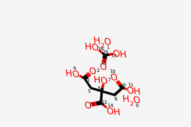 O.O.O=C(O)CC(O)(CC(=O)O)C(=O)O.O=C(O)O